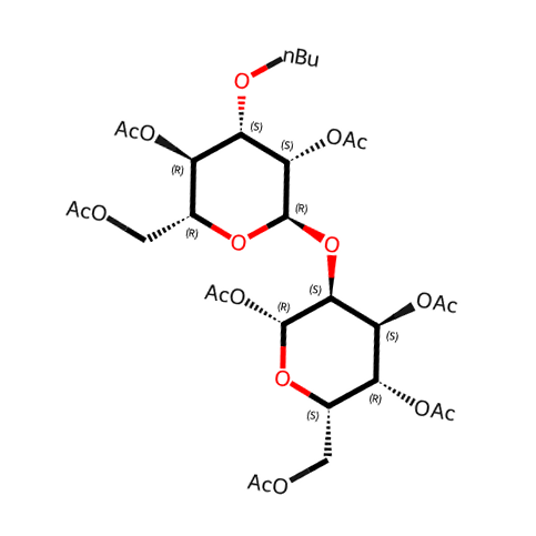 CCCCO[C@@H]1[C@H](OC(C)=O)[C@@H](O[C@@H]2[C@@H](OC(C)=O)O[C@@H](COC(C)=O)[C@@H](OC(C)=O)[C@@H]2OC(C)=O)O[C@H](COC(C)=O)[C@H]1OC(C)=O